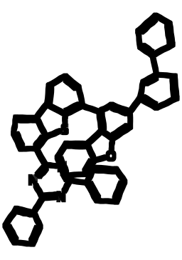 c1ccc(-c2cccc(-c3cc(-c4cccc5c4sc4c(-c6nc(-c7ccccc7)nc(-c7ccccc7)n6)cccc45)c4c(c3)oc3ccccc34)c2)cc1